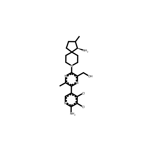 Cc1nc(N2CCC3(CCC(C)[C@H]3N)CC2)c(CO)nc1-c1cnc(N)c(Cl)c1Cl